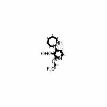 O=Cc1c(N2CCCCCN2)ccnc1OCC(F)(F)F